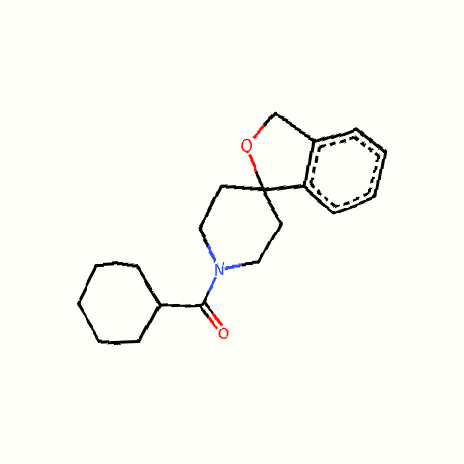 O=C(C1CCCCC1)N1CCC2(CC1)OCc1ccccc12